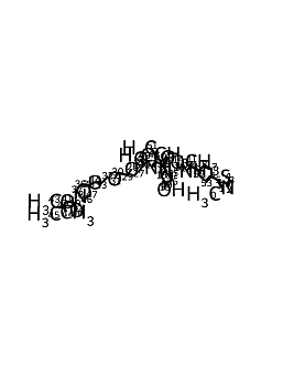 Cc1ncsc1-c1ccc(C(C)NC(=O)[C@@H]2C[C@@H](O)CN2C(=O)C(NC(=O)COCCOCCOC2CCN(C(=O)OC(C)(C)C)CC2)C(C)(C)C)cc1